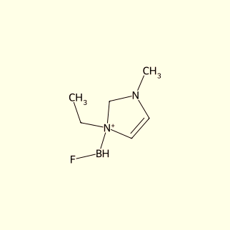 CC[N+]1(BF)C=CN(C)C1